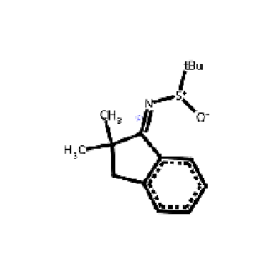 CC1(C)Cc2ccccc2/C1=N\[S+]([O-])C(C)(C)C